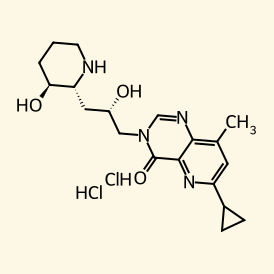 Cc1cc(C2CC2)nc2c(=O)n(C[C@@H](O)C[C@H]3NCCC[C@@H]3O)cnc12.Cl.Cl